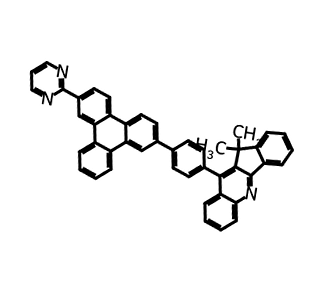 CC1(C)c2ccccc2-c2nc3ccccc3c(-c3ccc(-c4ccc5c6ccc(-c7ncccn7)cc6c6ccccc6c5c4)cc3)c21